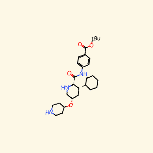 CC(C)(C)OC(=O)c1ccc(NC(=O)[C@H]2NC[C@@H](OC3CCNCC3)C[C@H]2C2CCCCC2)cc1